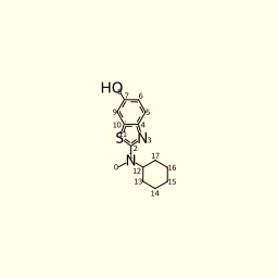 CN(c1nc2ccc(O)cc2s1)C1CCCCC1